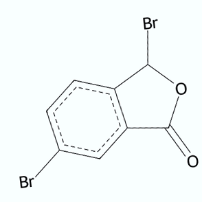 O=C1OC(Br)c2ccc(Br)cc21